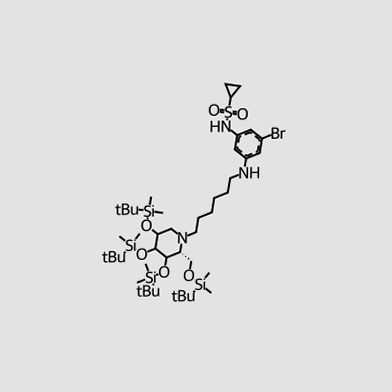 CC(C)(C)[Si](C)(C)OC[C@@H]1C(O[Si](C)(C)C(C)(C)C)C(O[Si](C)(C)C(C)(C)C)C(O[Si](C)(C)C(C)(C)C)CN1CCCCCCNc1cc(Br)cc(NS(=O)(=O)C2CC2)c1